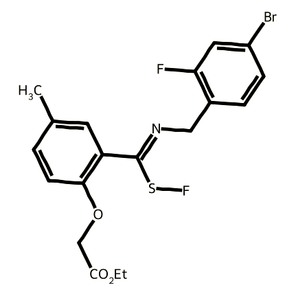 CCOC(=O)COc1ccc(C)cc1C(=NCc1ccc(Br)cc1F)SF